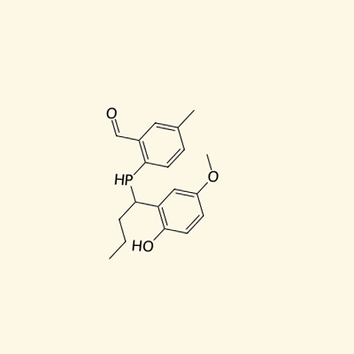 CCCC(Pc1ccc(C)cc1C=O)c1cc(OC)ccc1O